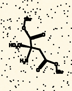 CC(C)(C)OC(=O)C[C@@](N)(C(=O)O)C(=O)OC(C)(C)C